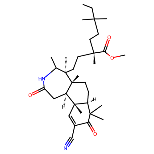 CCC(C)(C)CC[C@@](C)(CC[C@]1(C)C(C)NC(=O)C[C@@H]2[C@@]3(C)C=C(C#N)C(=O)C(C)(C)[C@@H]3CC[C@]21C)C(=O)OC